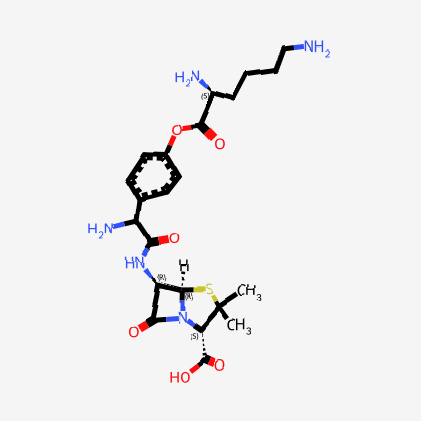 CC1(C)S[C@@H]2[C@H](NC(=O)C(N)c3ccc(OC(=O)[C@@H](N)CCCCN)cc3)C(=O)N2[C@H]1C(=O)O